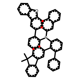 CC1(C)c2ccccc2-c2cc(-c3c(-c4ccccc4)cccc3N(c3ccc4ccccc4c3)c3ccccc3-c3ccc4oc5ccccc5c4c3)ccc21